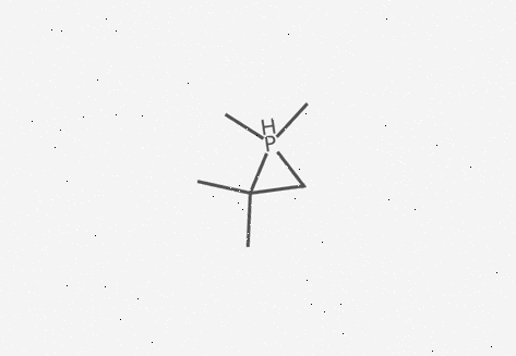 CC1(C)C[PH]1(C)C